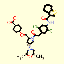 C[C@@H]1CN([C@H]2C[C@@H](CO[C@H]3CC[C@H](C(=O)O)CC3)N(C(=O)Cc3cc(Cl)c(NC(=O)c4csc5ccccc45)cc3Cl)C2)C[C@H](C)O1